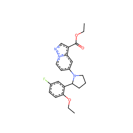 CCOC(=O)c1cnn2ccc(N3CCCC3c3cc(F)ccc3OCC)cc12